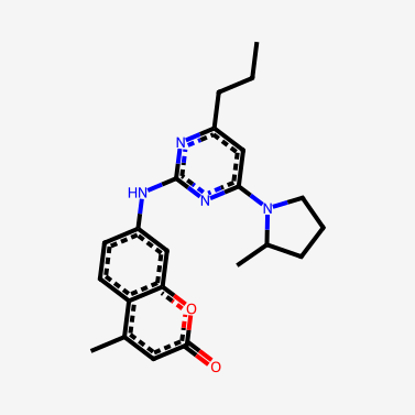 CCCc1cc(N2CCCC2C)nc(Nc2ccc3c(C)cc(=O)oc3c2)n1